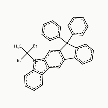 CCC(C)(CC)n1c2ccccc2c2cc3c(cc21)C(c1ccccc1)(c1ccccc1)c1ccccc1-3